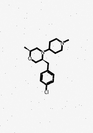 C[C@H]1CN(C2CCN(C)CC2)[C@@H](Cc2ccc(Cl)cc2)CO1